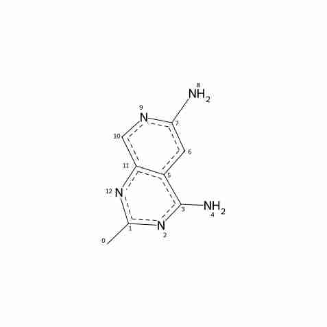 Cc1nc(N)c2cc(N)ncc2n1